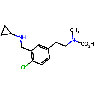 CN(CCc1ccc(Cl)c(CNC2CC2)c1)C(=O)O